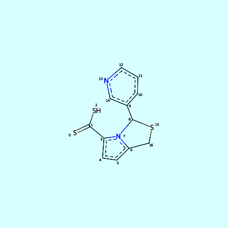 S=C(S)c1ccc2n1C(c1cccnc1)SC2